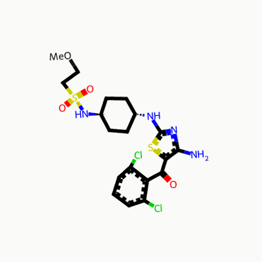 COCCS(=O)(=O)N[C@H]1CC[C@H](Nc2nc(N)c(C(=O)c3c(Cl)cccc3Cl)s2)CC1